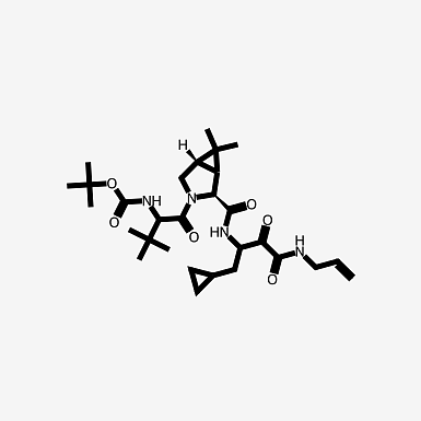 C=CCNC(=O)C(=O)C(CC1CC1)NC(=O)[C@@H]1C2[C@H](CN1C(=O)C(NC(=O)OC(C)(C)C)C(C)(C)C)C2(C)C